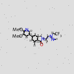 C=NN(/C=C(\C)N1Cc2cc(-c3cnc(OC)c(OC)c3)cc(C)c2C1=O)CC(F)(F)F